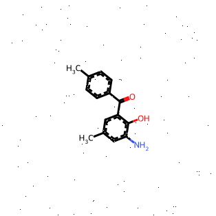 Cc1ccc(C(=O)c2cc(C)cc(N)c2O)cc1